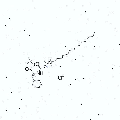 CCCCCCCCCCCCCC[N+](C)(C)/C(C)=C/C(=O)N[C@@H](Cc1ccccc1)C(=O)OC(C)(C)C.[Cl-]